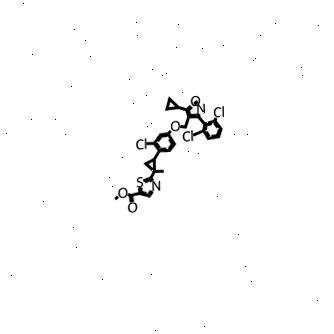 COC(=O)c1cnc(C2(C)CC2c2ccc(OCc3c(-c4c(Cl)cccc4Cl)noc3C3CC3)cc2Cl)s1